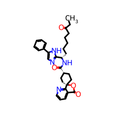 CCC(=O)CCCCC[C@H](NC(=O)[C@H]1CC[C@]2(CC1)OC(=O)c1cccnc12)c1ncc(-c2ccccc2)[nH]1